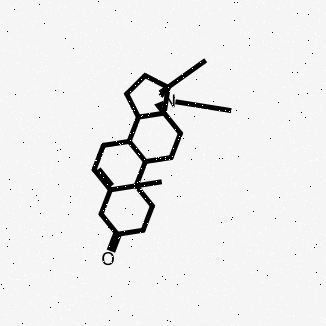 CC1C2CCC3C4CC=C5CC(=O)CCC5(C)C4CCC32CN1C